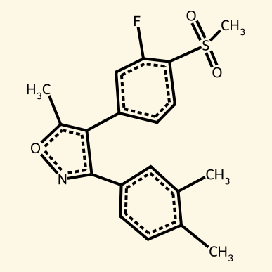 Cc1ccc(-c2noc(C)c2-c2ccc(S(C)(=O)=O)c(F)c2)cc1C